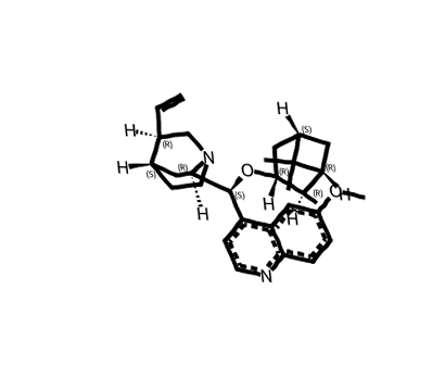 C=C[C@H]1CN2CC[C@H]1C[C@@H]2[C@@H](O[C@@H]1C[C@@H]2C[C@H]([C@H]1C)C2(C)C)c1ccnc2ccc(OC)cc12